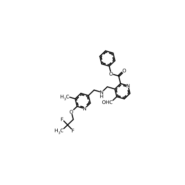 Cc1cc(CNCc2c(C=O)ccnc2C(=O)Oc2ccccc2)cnc1OCC(C)(F)F